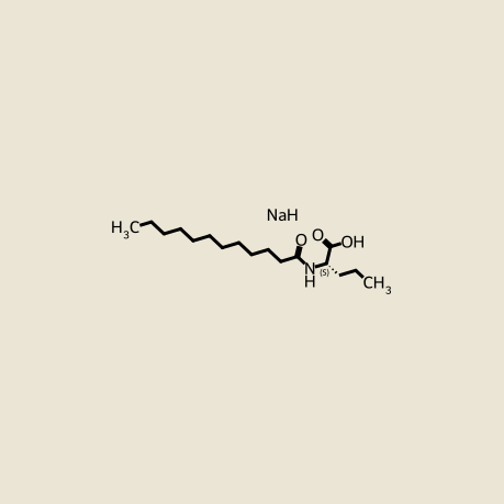 CCCCCCCCCCCC(=O)N[C@@H](CCC)C(=O)O.[NaH]